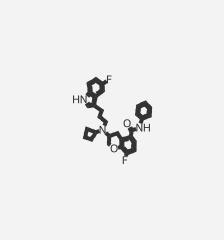 O=C(Nc1ccccc1)c1ccc(F)c2c1CC(N(CCCc1c[nH]c3ccc(F)cc13)C1CCC1)CO2